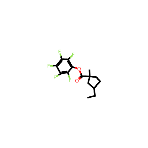 [CH2]CC1C[CH]C(C)(C(=O)Oc2c(F)c(F)c(F)c(F)c2F)C1